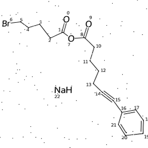 O=C(CCCCBr)OC(=O)CCCCC#Cc1ccccc1.[NaH]